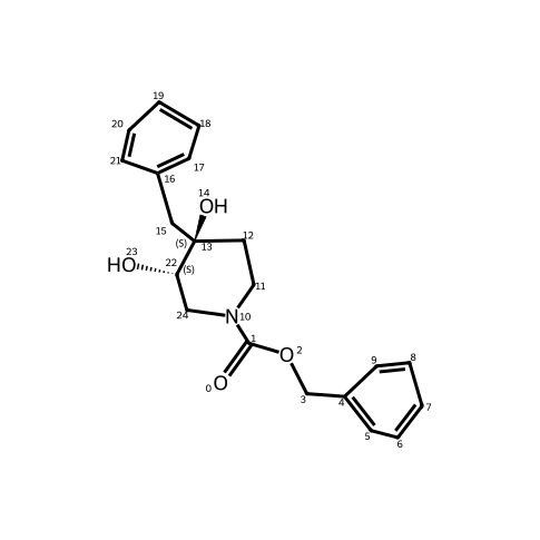 O=C(OCc1ccccc1)N1CC[C@@](O)(Cc2ccccc2)[C@@H](O)C1